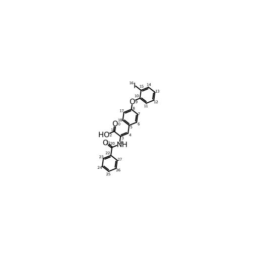 O=C(O)/C(=C\c1ccc(Oc2ccccc2I)cc1)NC(=O)c1ccccc1